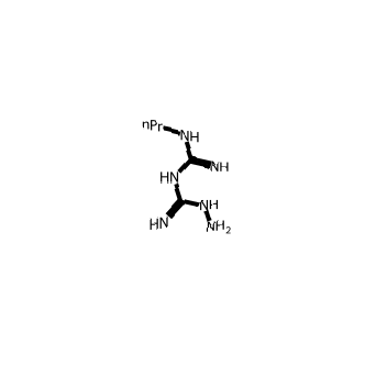 CCCNC(=N)NC(=N)NN